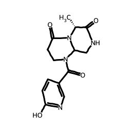 C[C@@H]1C(=O)NCC2N(C(=O)c3ccc(O)nc3)CCC(=O)N21